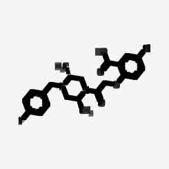 C[C@@H]1CN(C(=O)COc2ccc(Cl)cc2C(=O)O)[C@@H](C)CN1Cc1ccc(F)cc1